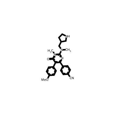 COc1ccc(-c2c(-c3ccc(C#N)cc3)nc(N(C)CC3CCNC3)n(C)c2=O)cc1